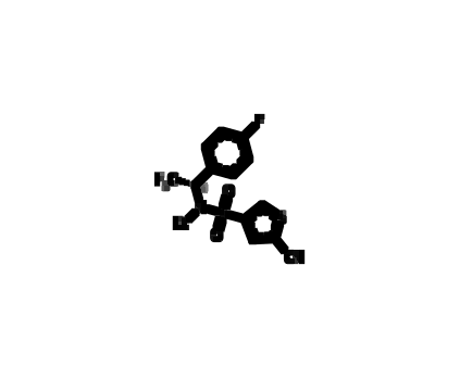 CCN([C@@H](c1ccc(F)cc1)C(F)(F)F)S(=O)(=O)c1csc(C#N)c1